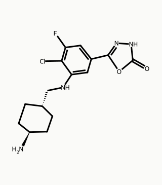 N[C@H]1CC[C@H](CNc2cc(-c3n[nH]c(=O)o3)cc(F)c2Cl)CC1